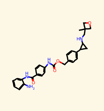 CC1(CNC2CC2c2ccc(COC(=O)Nc3ccc(C(=O)Nc4ccccc4N)cc3)cc2)COC1